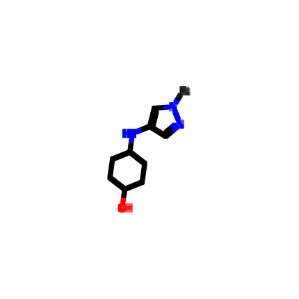 CCn1cc(NC2CCC(O)CC2)cn1